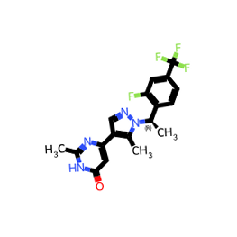 Cc1nc(-c2cnn([C@H](C)c3ccc(C(F)(F)F)cc3F)c2C)cc(=O)[nH]1